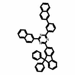 c1ccc(C2(c3ccccc3)c3ccccc3-c3ccc(-c4nc(-c5cccc(-c6ccc7ccccc7c6)c5)nc(-c5ccc6ccccc6c5)n4)cc32)cc1